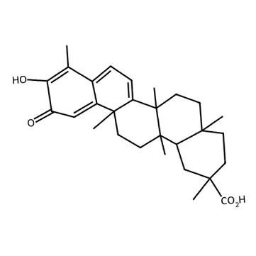 CC1=C(O)C(=O)C=C2C1=CC=C1C2(C)CCC2(C)C3CC(C)(C(=O)O)CCC3(C)CCC12C